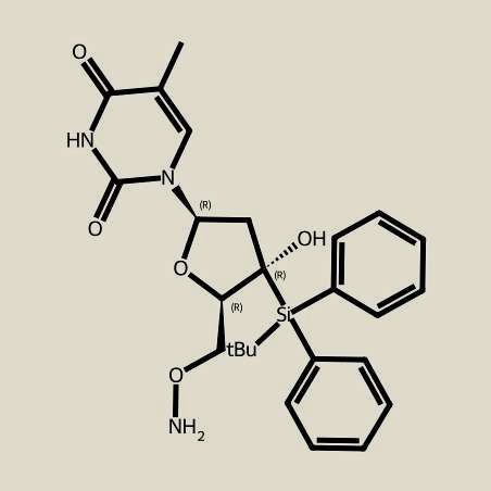 Cc1cn([C@H]2C[C@@](O)([Si](c3ccccc3)(c3ccccc3)C(C)(C)C)[C@@H](CON)O2)c(=O)[nH]c1=O